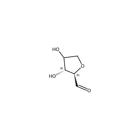 O=C[C@@H]1OCC(O)[C@H]1O